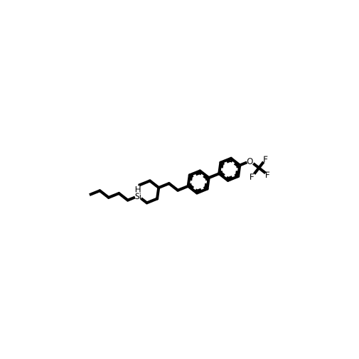 CCCCC[SiH]1CCC(CCc2ccc(-c3ccc(OC(F)(F)F)cc3)cc2)CC1